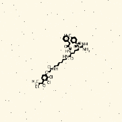 C=C(CC)C(=O)c1ccc(OCC(=O)NCCCCCCNC(=O)C(CCCN(C(=N)N)S(=O)(=O)c2ccc(C)cc2)NOC(=O)Cc2ccccc2)c(Cl)c1Cl